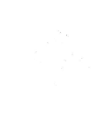 COc1ccccc1CNN1N=NC12C=CC(C(=O)NC1CC1)(N1C=CNc3ccccc31)C=C2